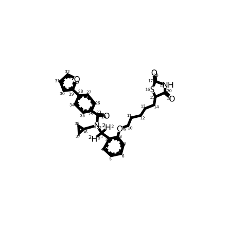 [2H]C([2H])(c1ccccc1OCCCCCC1SC(=O)NC1=O)N(C(=O)c1ccc(-c2ccco2)cc1)C1CC1